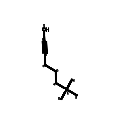 C[Si](C)(C)CCCC#CO